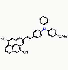 COc1ccc(N(c2ccccc2)c2ccc(C=Cc3cc4cc(C#N)c5cccc6cc(C#N)c(c3)c4c65)cc2)cc1